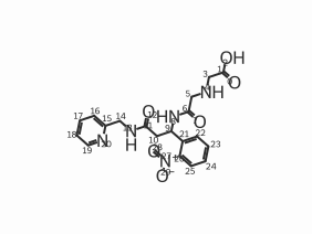 O=C(O)CNCC(=O)NC(CC(=O)NCc1ccccn1)c1ccccc1[N+](=O)[O-]